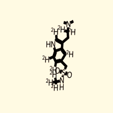 [2H]c1[nH]c2c([2H])c([2H])c(CS(=O)(=O)NC([2H])([2H])[2H])c([2H])c2c1CC([2H])([2H])N(C)C